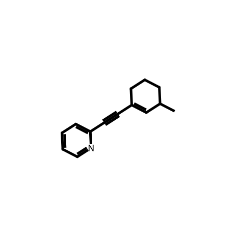 CC1C=C(C#Cc2ccccn2)CCC1